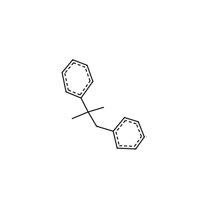 CC(C)(Cc1cc[c]cc1)c1ccccc1